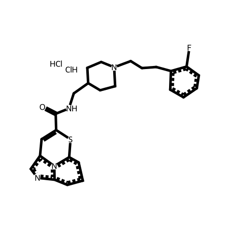 Cl.Cl.O=C(NCC1CCN(CCCc2ccccc2F)CC1)C1=Cc2cnc3cccc(n23)S1